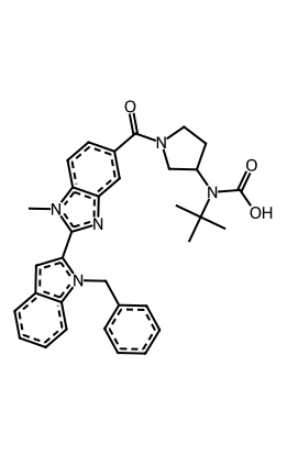 Cn1c(-c2cc3ccccc3n2Cc2ccccc2)nc2cc(C(=O)N3CCC(N(C(=O)O)C(C)(C)C)C3)ccc21